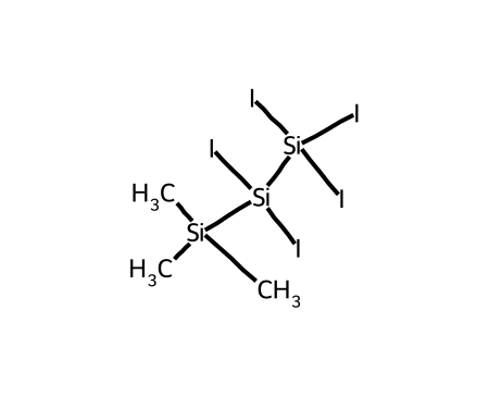 C[Si](C)(C)[Si](I)(I)[Si](I)(I)I